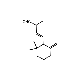 C=C1CCCC(C)(C)C1C=CC(C)C=O